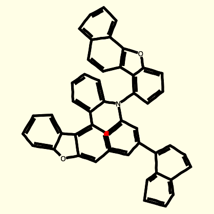 c1cc(-c2cccc3ccccc23)cc(N(c2ccccc2-c2cccc3oc4ccccc4c23)c2cccc3oc4c5ccccc5ccc4c23)c1